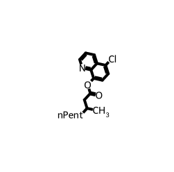 CCCCCC(C)CC(=O)Oc1ccc(Cl)c2cccnc12